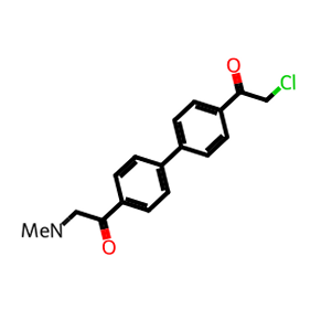 CNCC(=O)c1ccc(-c2ccc(C(=O)CCl)cc2)cc1